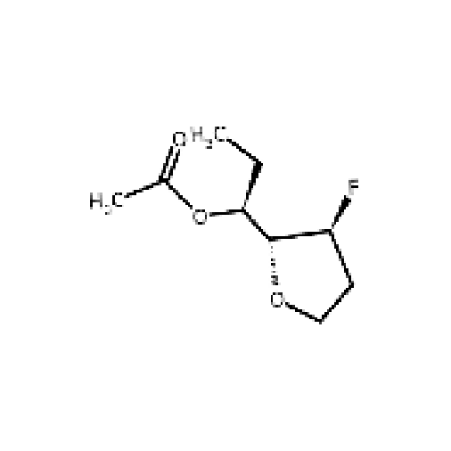 CC[C@H](OC(C)=O)[C@H]1OCC[C@@H]1F